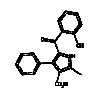 CCOC(=O)c1c(C)[nH]c(C(=O)c2ccccc2O)c1-c1ccccc1